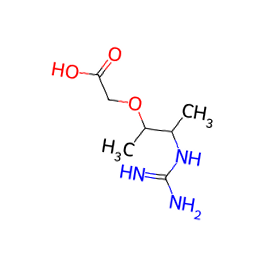 CC(NC(=N)N)C(C)OCC(=O)O